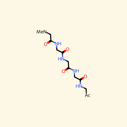 CNCC(=O)NCC(=O)NCC(=O)NCC(=O)NCC(C)=O